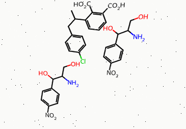 CC(Cc1ccc(Cl)cc1)c1cccc(C(=O)O)c1C(=O)O.NC(CO)C(O)c1ccc([N+](=O)[O-])cc1.NC(CO)C(O)c1ccc([N+](=O)[O-])cc1